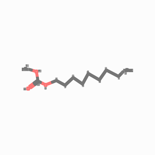 CCCCCCCCCCCCCCCCCCOC(=O)OCCCC